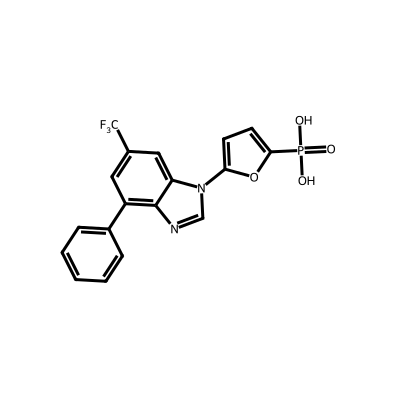 O=P(O)(O)c1ccc(-n2cnc3c(-c4ccccc4)cc(C(F)(F)F)cc32)o1